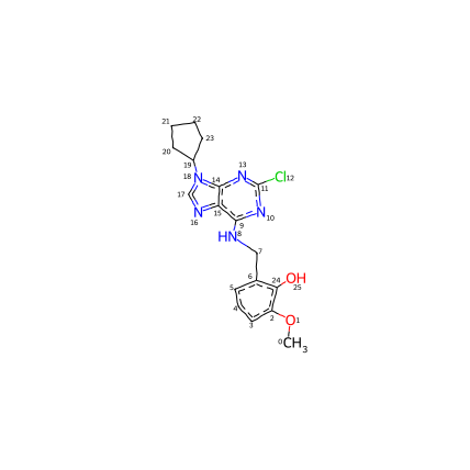 COc1cccc(CNc2nc(Cl)nc3c2ncn3C2CCCC2)c1O